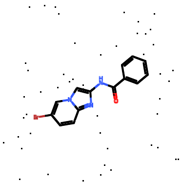 O=C(Nc1cn2cc(Br)ccc2n1)c1ccccc1